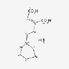 Cl.O=C(O)C=C(CCN1CCCCC1)C(=O)O